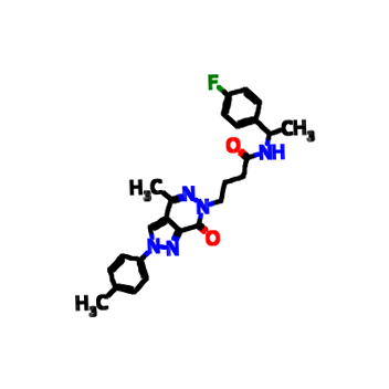 Cc1ccc(-n2cc3c(C)nn(CCCC(=O)NC(C)c4ccc(F)cc4)c(=O)c3n2)cc1